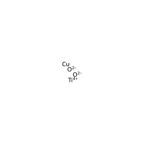 [Cu].[O-2].[O-2].[Ti+4]